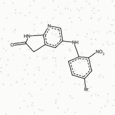 O=C1Cc2cc(Nc3ccc(Br)cc3[N+](=O)[O-])cnc2N1